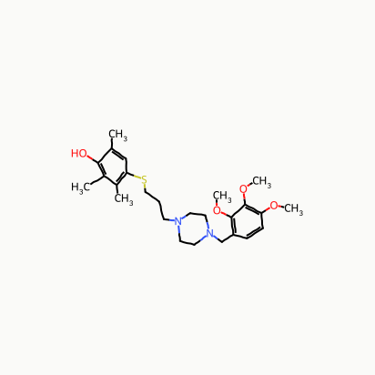 COc1ccc(CN2CCN(CCCSc3cc(C)c(O)c(C)c3C)CC2)c(OC)c1OC